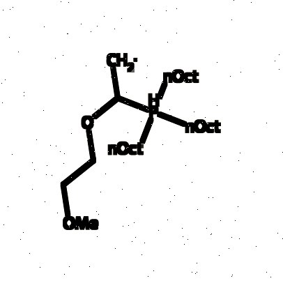 [CH2]C(OCCOC)[PH](CCCCCCCC)(CCCCCCCC)CCCCCCCC